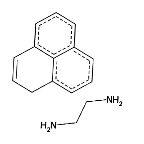 C1=Cc2cccc3cccc(c23)C1.NCCN